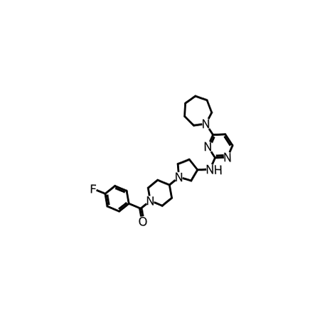 O=C(c1ccc(F)cc1)N1CCC(N2CCC(Nc3nccc(N4CCCCCC4)n3)C2)CC1